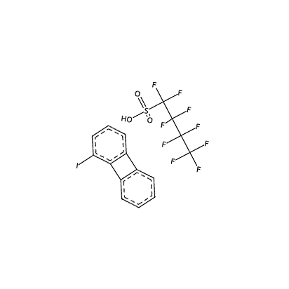 Ic1cccc2c1-c1ccccc1-2.O=S(=O)(O)C(F)(F)C(F)(F)C(F)(F)C(F)(F)F